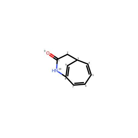 O=C1CC2C=CC=CC(=C2)N1